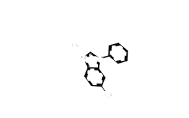 Cl.Oc1ccc2ncn(-c3ccccc3)c2c1